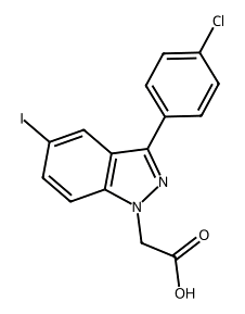 O=C(O)Cn1nc(-c2ccc(Cl)cc2)c2cc(I)ccc21